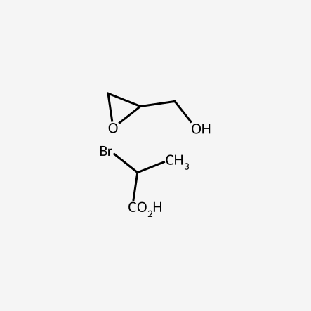 CC(Br)C(=O)O.OCC1CO1